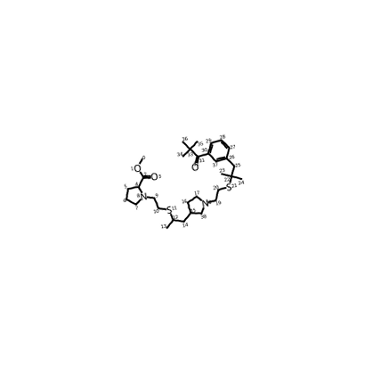 COC(=O)C1CCCN1CCSC(C)CC1CCN(CCSC(C)(C)Cc2cccc(C(=O)C(C)(C)C)c2)C1